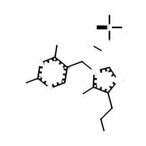 Cc1ncc(C[n+]2csc(CCO)c2C)c(N)n1.O=P(O)(O)O.O=S(=O)(O)O